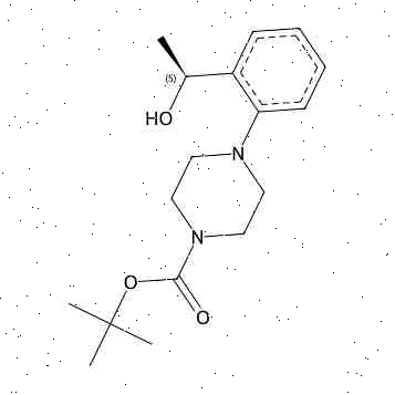 C[C@H](O)c1ccccc1N1CCN(C(=O)OC(C)(C)C)CC1